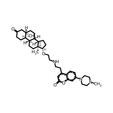 CN1CCN(c2ccc3c(CCNCCO[C@H]4CC[C@H]5[C@@H]6CC[C@H]7CC(=O)CC[C@]7(C)[C@H]6CC[C@]45C)cc(=O)oc3c2)CC1